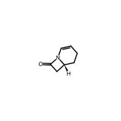 O=C1C[C@H]2CCC=CN12